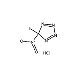 Cl.O=[N+]([O-])C1(I)N=NN=N1